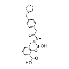 O=C(Cc1ccc(CN2CCCC2)cc1)N[C@H]1Cc2cccc(C(=O)O)c2OB1O